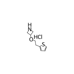 Cl.c1csc(CCOC2CNC2)c1